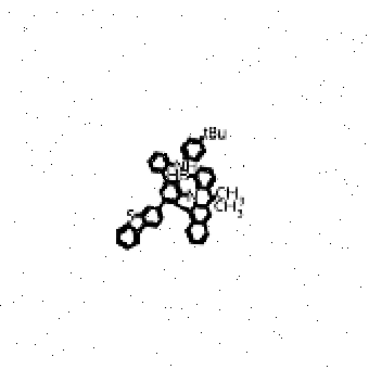 CC(C)(C)c1ccc(Nc2ccccc2-c2cc(-c3ccc4c(c3)sc3ccccc34)c3c4c5ccccc5cc5c4n4c3c2Bc2cccc(c2-4)C5(C)C)cc1